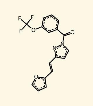 O=C(c1cccc(OC(F)(F)F)c1)n1ccc(/C=C/c2ccco2)n1